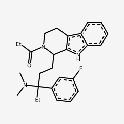 CCC(=O)N1CCc2c([nH]c3ccccc23)C1CCC(CC)(c1cccc(F)c1)N(C)C